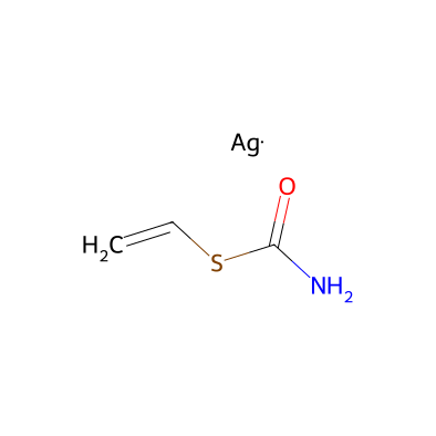 C=CSC(N)=O.[Ag]